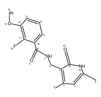 Cc1cc(C)c(CNC(=O)c2cccc(OC(C)C)c2F)c(=O)[nH]1